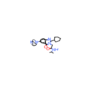 CC(C)NC(=O)Cn1c(C2CCCCC2)nc2ccc(N3CCN4CCC3CC4)cc2c1=O